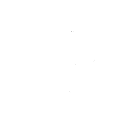 CO/C(=C/C(=O)N(C)C(Cc1ccccc1)c1nccs1)CC(C)C(Cl)(Cl)Cl